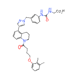 Cc1cccc(OCCCC(=O)N2CCCc3c(-c4cnn(Cc5cccc(NC(=O)NCC(=O)O)c5)c4)cccc32)c1C